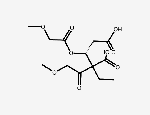 CCC(C(=O)O)(C(=O)COC)[C@@H](CC(=O)O)OC(=O)COC